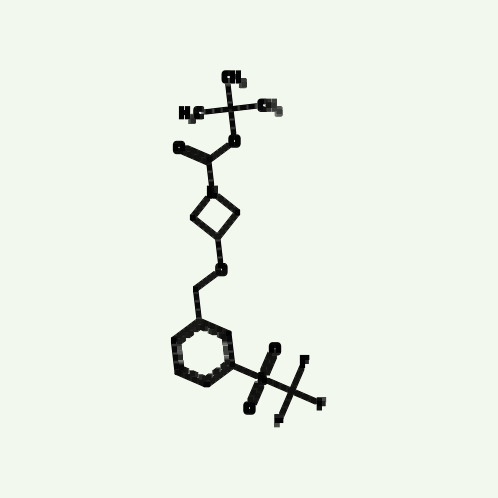 CC(C)(C)OC(=O)N1CC(OCc2cccc(S(=O)(=O)C(F)(F)F)c2)C1